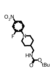 CC(C)(C)OC(=O)NCC1CCN(c2ccc([N+](=O)[O-])cc2F)CC1